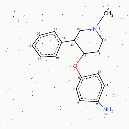 CN1CCC(Oc2ccc(N)cc2)C(c2ccccc2)C1